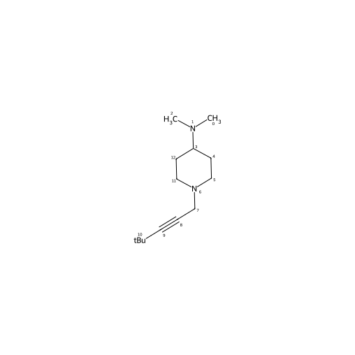 CN(C)C1CCN(CC#CC(C)(C)C)CC1